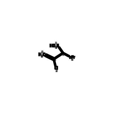 C=C(Cl)C(CCC)S(=O)(=O)O